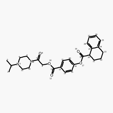 CC(C)N1CCN(C(=O)COC(=O)c2ccc(OC(=O)C3CCCc4ccccc43)cc2)CC1